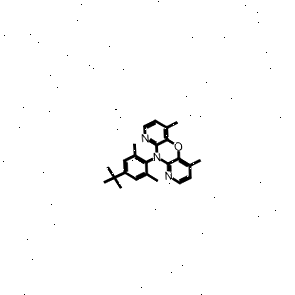 Cc1ccnc2c1Oc1c(C)ccnc1N2c1c(C)cc(C(C)(C)C)cc1C